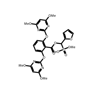 COc1cc(OC)nc(Oc2cccc(Oc3nc(OC)cc(OC)n3)c2C(=O)OC(c2ccco2)P(=O)(OC)OC)n1